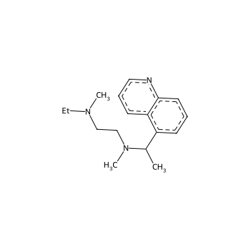 CCN(C)CCN(C)C(C)c1cccc2ncccc12